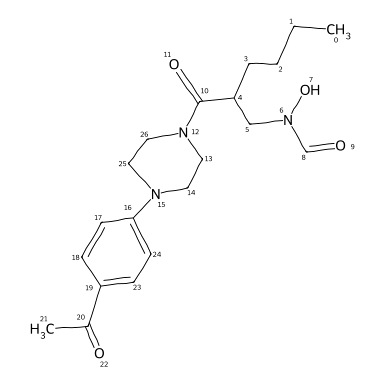 CCCCC(CN(O)C=O)C(=O)N1CCN(c2ccc(C(C)=O)cc2)CC1